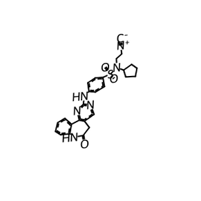 [C-]#[N+]CCN(C1CCCC1)S(=O)(=O)c1ccc(Nc2ncc3c(n2)-c2ccccc2NC(=O)C3)cc1